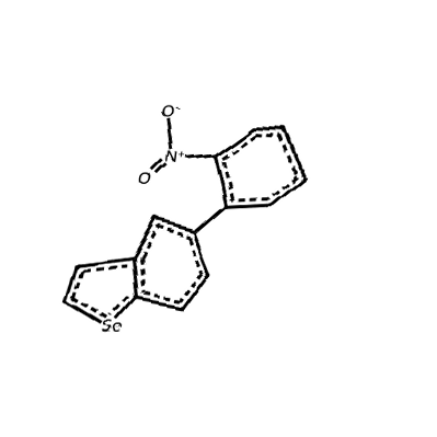 O=[N+]([O-])c1ccccc1-c1ccc2[se]ccc2c1